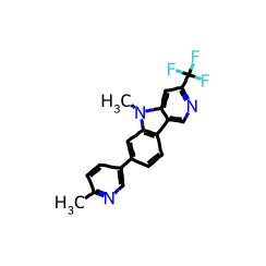 Cc1ccc(-c2ccc3c4cnc(C(F)(F)F)cc4n(C)c3c2)cn1